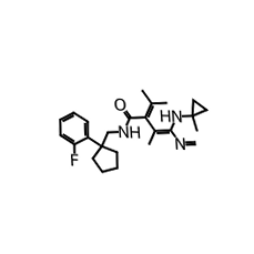 C=N/C(NC1(C)CC1)=C(\C)C(C(=O)NCC1(c2ccccc2F)CCCC1)=C(C)C